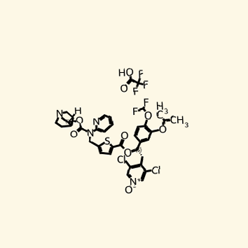 CC(C)Oc1cc([C@H](Cc2c(Cl)c[n+]([O-])cc2Cl)OC(=O)c2ccc(CN(C(=O)O[C@H]3CN4CCC3CC4)c3ccccn3)s2)ccc1OC(F)F.O=C(O)C(F)(F)F